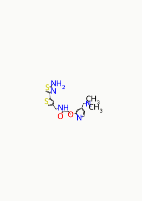 CN(C)Cc1ccnc(OCC(=O)NCc2csc(-c3csc(N)n3)c2)c1